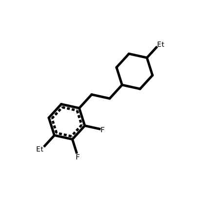 CCc1ccc(CCC2CCC(CC)CC2)c(F)c1F